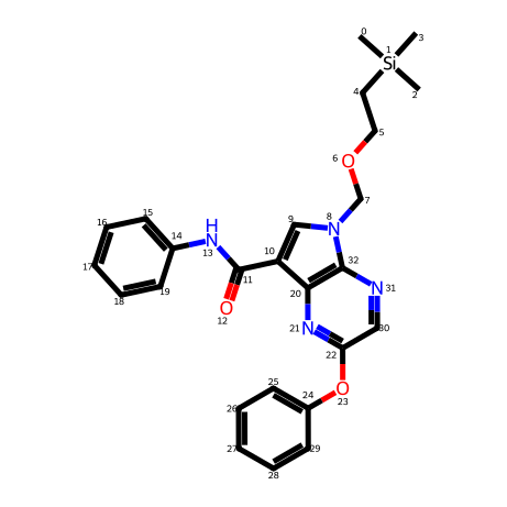 C[Si](C)(C)CCOCn1cc(C(=O)Nc2ccccc2)c2nc(Oc3ccccc3)cnc21